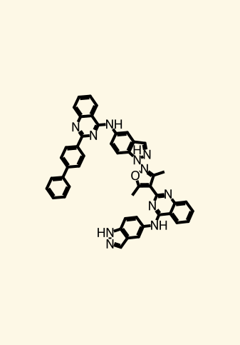 Cc1noc(C)c1-c1nc(Nc2ccc3[nH]ncc3c2)c2ccccc2n1.c1ccc(-c2ccc(-c3nc(Nc4ccc5[nH]ncc5c4)c4ccccc4n3)cc2)cc1